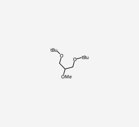 COC(COC(C)(C)C)COC(C)(C)C